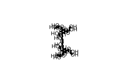 CC(O)(CO)NC(=O)c1c(I)c(C(=O)NC(C)(O)CO)c(I)c(N(CC(O)COCC(O)CN(C(=O)CO)c2c(I)c(C(=O)NC(C)(O)CO)c(I)c(C(=O)NC(C)(O)CO)c2I)C(=O)CO)c1I